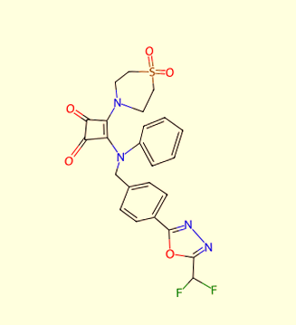 O=c1c(N2CCS(=O)(=O)CC2)c(N(Cc2ccc(-c3nnc(C(F)F)o3)cc2)c2ccccc2)c1=O